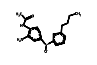 CCCCc1cccc([S+]([O-])c2ccc(NC(C)=O)c(N)c2)c1